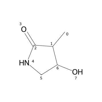 CC1C(=O)NCC1O